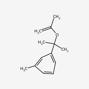 C=C(C)OC(C)(C)c1cccc(C)c1